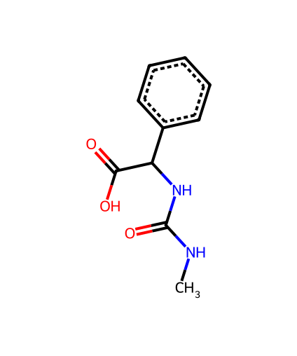 CNC(=O)NC(C(=O)O)c1ccccc1